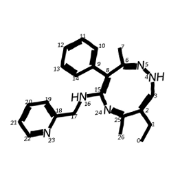 CCc1c[nH]nc(C)c(-c2ccccc2)c(NCc2ccccn2)nc1C